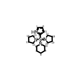 c1c[nH]c([Si](N2CCCCC2)(N2CCCC2)N2CCCC2)c1